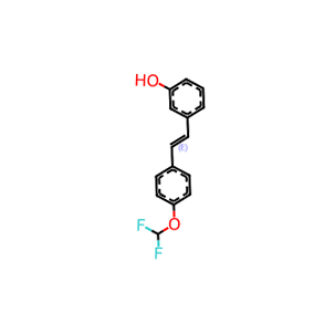 Oc1cccc(/C=C/c2ccc(OC(F)F)cc2)c1